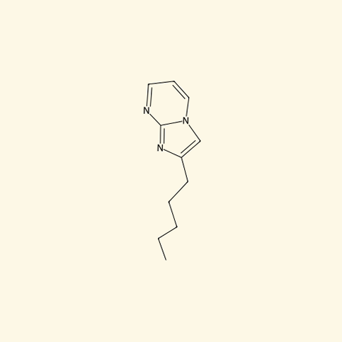 CCCCCc1cn2cccnc2n1